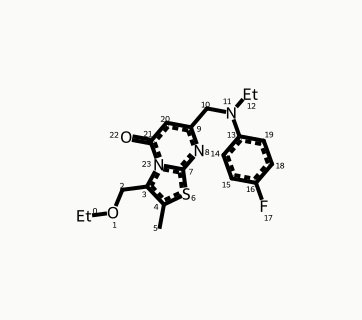 CCOCc1c(C)sc2nc(CN(CC)c3ccc(F)cc3)cc(=O)n12